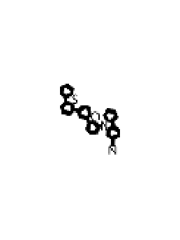 N#Cc1ccc2c3ccccc3n(-c3cccc4c3oc3ccc(-c5cccc6c5SC5C=CC=CC65)cc34)c2c1